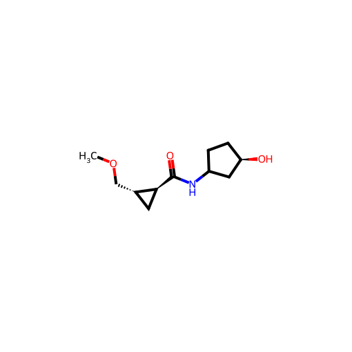 COC[C@H]1C[C@@H]1C(=O)NC1CC[C@@H](O)C1